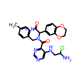 Cc1ccc(CN(C(=O)c2ncncc2NCC(N)Cl)C(C(N)=O)c2ccc3c(c2)OCCO3)cc1